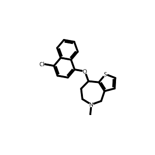 CN1CCC(Oc2ccc(Cl)c3ccccc23)c2sccc2C1